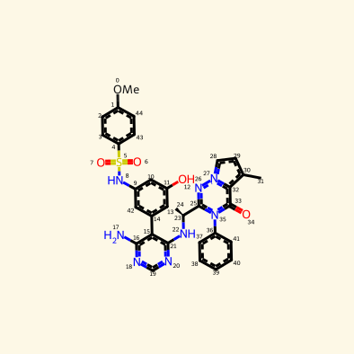 COc1ccc(S(=O)(=O)Nc2cc(O)cc(-c3c(N)ncnc3N[C@@H](C)c3nn4ccc(C)c4c(=O)n3-c3ccccc3)c2)cc1